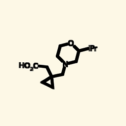 CC(C)C1CN(CC2(CC(=O)O)CC2)CCO1